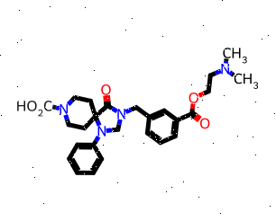 CN(C)CCOC(=O)c1cccc(CN2CN(c3ccccc3)C3(CCN(C(=O)O)CC3)C2=O)c1